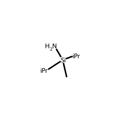 CC(C)[Si](C)(N)C(C)C